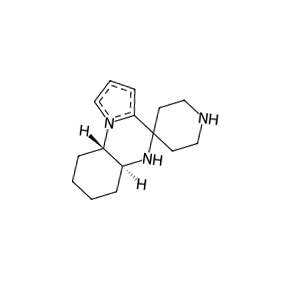 c1cc2n(c1)[C@H]1CCCC[C@@H]1NC21CCNCC1